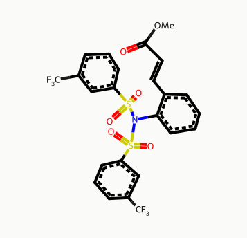 COC(=O)C=Cc1ccccc1N(S(=O)(=O)c1cccc(C(F)(F)F)c1)S(=O)(=O)c1cccc(C(F)(F)F)c1